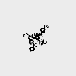 CCCN(CC1CCN(C(=O)C2CCCCC2)CC1)C(C)Cc1cccc(NC(=O)c2ccc(C(C)(C)C)cc2)c1.O=C(O)C(F)(F)F